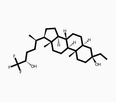 CC[C@]1(O)CC[C@@]2(C)[C@@H](CC[C@@H]3[C@@H]2CC[C@]2(C)[C@@H]([C@H](C)CC[C@H](O)C(F)(F)F)CC[C@@H]32)C1